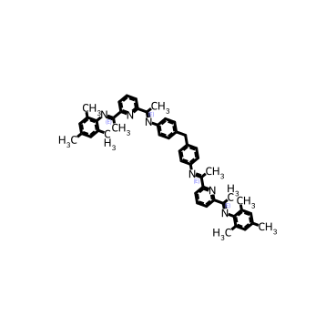 C/C(=N\c1ccc(Cc2ccc(/N=C(\C)c3cccc(/C(C)=N/c4c(C)cc(C)cc4C)n3)cc2)cc1)c1cccc(/C(C)=N/c2c(C)cc(C)cc2C)n1